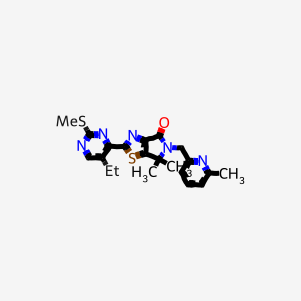 CCc1cnc(SC)nc1-c1nc2c(s1)C(C)(C)N(Cc1cccc(C)n1)C2=O